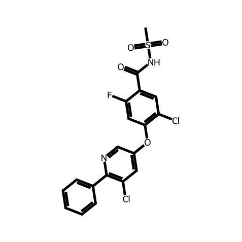 CS(=O)(=O)NC(=O)c1cc(Cl)c(Oc2cnc(-c3ccccc3)c(Cl)c2)cc1F